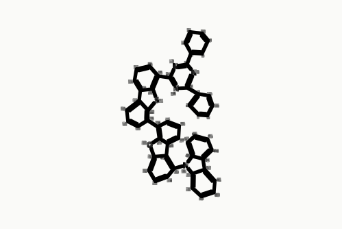 c1ccc(-c2nc(-c3ccccc3)nc(-c3cccc4c3sc3c(-c5cccc6c5oc5cccc(-n7c8ccccc8c8ccccc87)c56)cccc34)n2)cc1